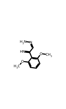 COc1cccc(OC)c1C(=N)/C=N\N